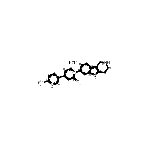 Cl.O=c1cc(-c2ccc(C(F)(F)F)nc2)ccn1-c1ccc2c3c(oc2c1)CCNC3